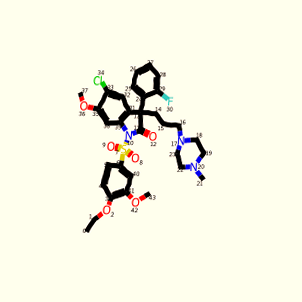 CCOc1ccc(S(=O)(=O)N2C(=O)C(CCCN3CCN(C)CC3)(c3ccccc3F)c3cc(Cl)c(OC)cc32)cc1OC